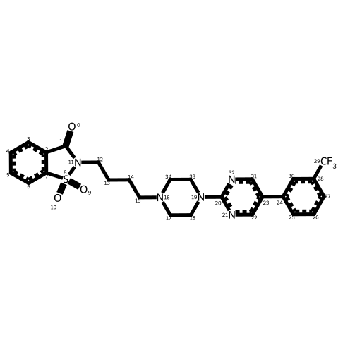 O=C1c2ccccc2S(=O)(=O)N1CCCCN1CCN(c2ncc(-c3cccc(C(F)(F)F)c3)cn2)CC1